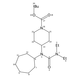 CCN(CC)C(=O)N(C1CCCCCC1)C1CCN(C(=O)OC(C)(C)C)CC1